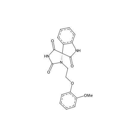 COc1ccccc1OCCN1C(=O)NC(=O)[C@@]12C(=O)Nc1ccccc12